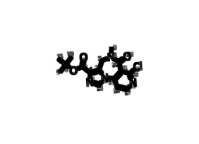 CN1Cc2c(C(=O)OC(C)(C)C)ncn2-c2ccnc(Cl)c2C1=O